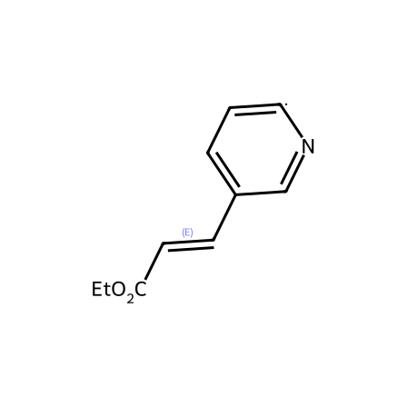 CCOC(=O)/C=C/c1cc[c]nc1